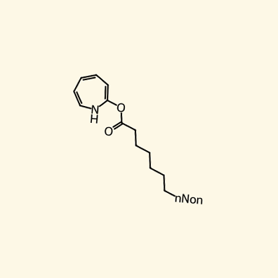 CCCCCCCCCCCCCCCC(=O)OC1=CC=CC=CN1